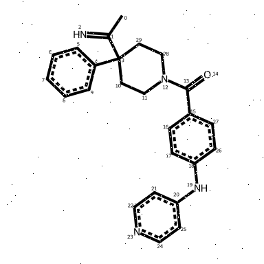 CC(=N)C1(c2ccccc2)CCN(C(=O)c2ccc(Nc3ccncc3)cc2)CC1